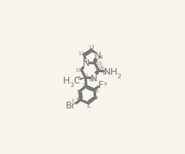 C[C@@]1(c2cc(Br)ccc2F)Cn2ccnc2C(N)=N1